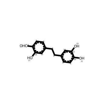 O=Cc1ccc(CCc2ccc(O)c(O)c2)cc1O